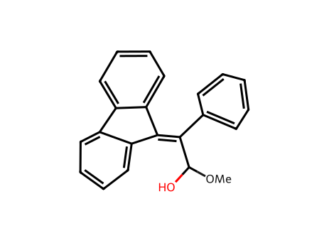 COC(O)C(=C1c2ccccc2-c2ccccc21)c1ccccc1